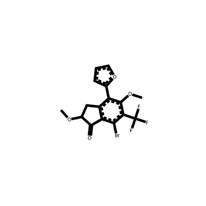 COc1c(-c2ccco2)c2c(c(Br)c1C(F)(F)F)C(=O)C(OC)C2